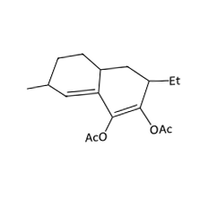 CCC1CC2CCC(C)C=C2C(OC(C)=O)=C1OC(C)=O